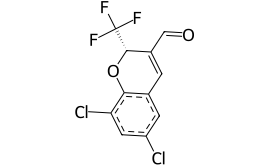 O=CC1=Cc2cc(Cl)cc(Cl)c2O[C@@H]1C(F)(F)F